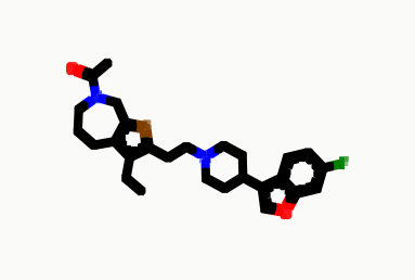 CCc1c(CCN2CCC(c3coc4cc(F)ccc34)CC2)sc2c1CCCN(C(C)=O)C2